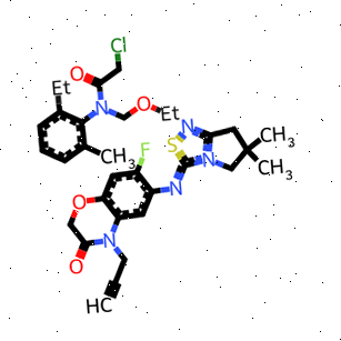 C#CCN1C(=O)COc2cc(F)c(/N=c3\snc4n3CC(C)(C)C4)cc21.CCOCN(C(=O)CCl)c1c(C)cccc1CC